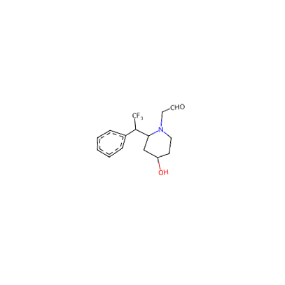 O=CCN1CCC(O)CC1C(c1ccccc1)C(F)(F)F